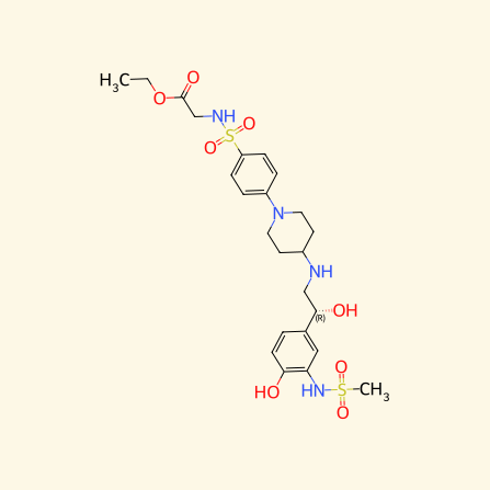 CCOC(=O)CNS(=O)(=O)c1ccc(N2CCC(NC[C@H](O)c3ccc(O)c(NS(C)(=O)=O)c3)CC2)cc1